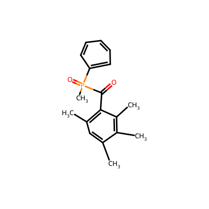 Cc1cc(C)c(C(=O)P(C)(=O)c2ccccc2)c(C)c1C